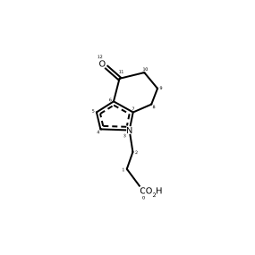 O=C(O)CCn1ccc2c1CCCC2=O